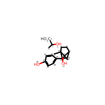 CC(O)C(=O)O.CC1(C)C2CCC1(C)C(O)(c1ccc(O)cc1)C2